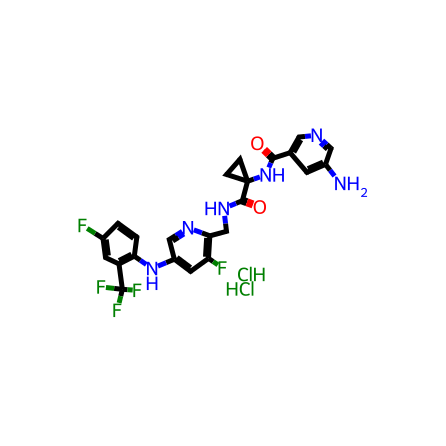 Cl.Cl.Nc1cncc(C(=O)NC2(C(=O)NCc3ncc(Nc4ccc(F)cc4C(F)(F)F)cc3F)CC2)c1